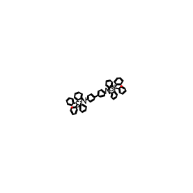 c1ccc([Si]2(c3ccccc3)c3ccccc3N(c3ccc(-c4ccc(N5c6ccccc6[Si](c6ccccc6)(c6ccccc6)c6ccccc65)cc4)cc3)c3ccccc32)cc1